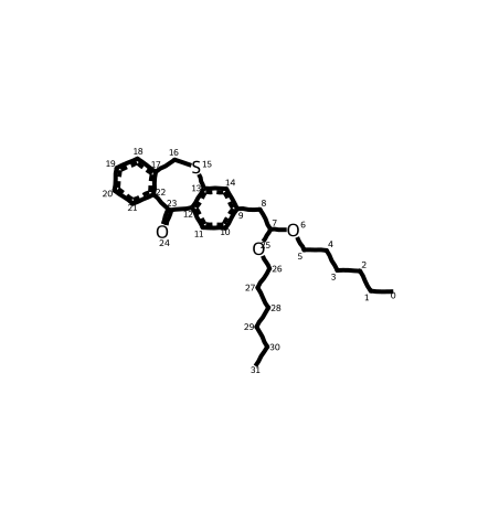 CCCCCCOC(Cc1ccc2c(c1)SCc1ccccc1C2=O)OCCCCCC